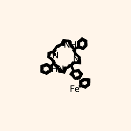 C1=Cc2nc1cc1ccc([nH]1)c(-c1ccccc1)c1nc(c(-c3ccccc3)c3ccc([nH]3)c2-c2ccccc2)C=C1.[Fe][c]1ccccc1